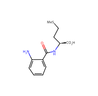 CSCC[C@H](NC(=O)c1ccccc1N)C(=O)O